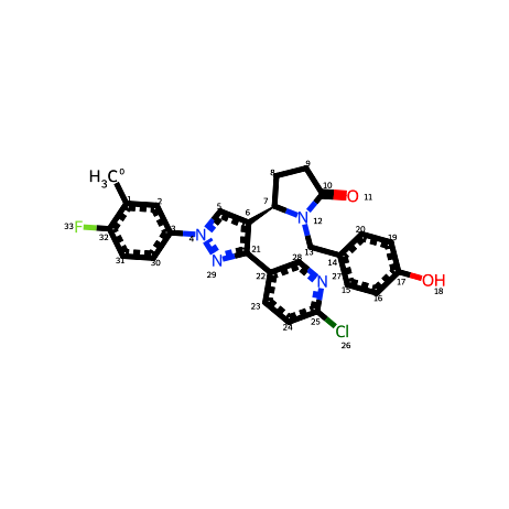 Cc1cc(-n2cc([C@H]3CCC(=O)N3Cc3ccc(O)cc3)c(-c3ccc(Cl)nc3)n2)ccc1F